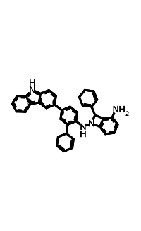 Nc1cccc2c1C(C1=CCCC=C1)N2Nc1ccc(-c2ccc3[nH]c4ccccc4c3c2)cc1C1C=CC=CC1